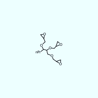 CCCC(OCC1CO1)C(COCC1CO1)OCC1CO1